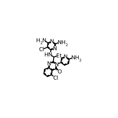 CCC(Nc1nc(N)nc(N)c1Cl)c1nc2cccc(Cl)c2c(=O)n1-c1ccc(N)nc1